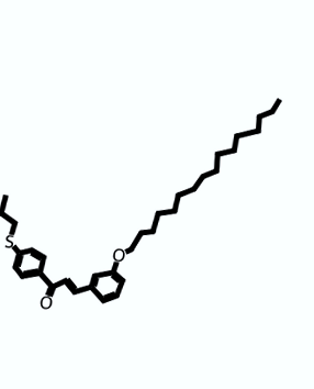 CCCCCCCCCCCCCCCCOc1cccc(C=CC(=O)c2ccc(SCCC)cc2)c1